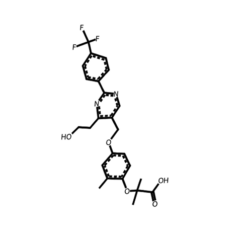 Cc1cc(OCc2cnc(-c3ccc(C(F)(F)F)cc3)nc2CCO)ccc1OC(C)(C)C(=O)O